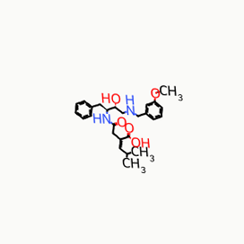 COc1cccc(CNC[C@@H](O)[C@H](Cc2ccccc2)NC(=O)CC(=CC(C)C)C(=O)O)c1